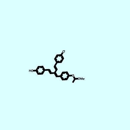 COC(C)Oc1ccc(C=C(C=Cc2ccc(O)cc2)C=Cc2ccc(Cl)cc2)cc1